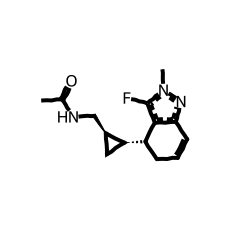 CC(=O)NC[C@@H]1C[C@H]1C1CC=Cc2nn(C)c(F)c21